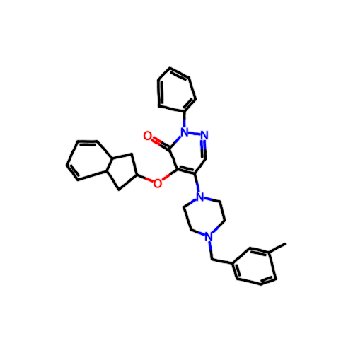 Cc1cccc(CN2CCN(c3cnn(-c4ccccc4)c(=O)c3OC3CC4C=CC=CC4C3)CC2)c1